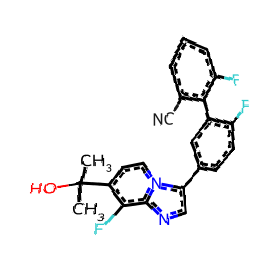 CC(C)(O)c1ccn2c(-c3ccc(F)c(-c4c(F)cccc4C#N)c3)cnc2c1F